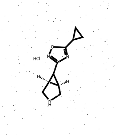 C1CC1c1nc(C2[C@H]3CNC[C@@H]23)no1.Cl